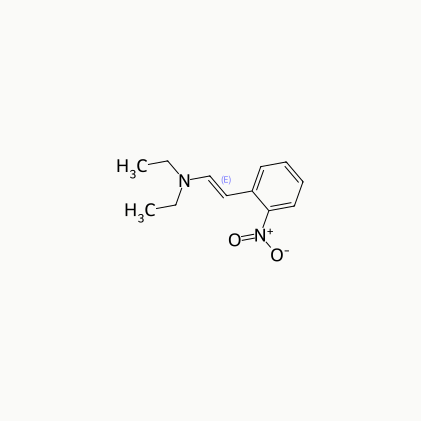 CCN(/C=C/c1ccccc1[N+](=O)[O-])CC